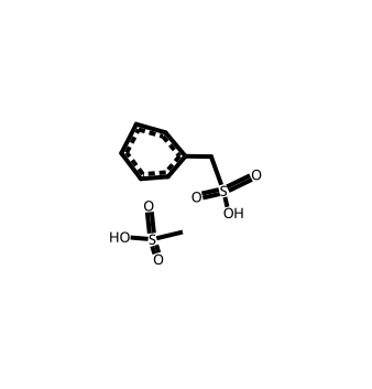 CS(=O)(=O)O.O=S(=O)(O)Cc1ccccc1